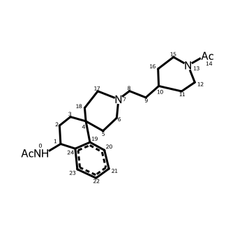 CC(=O)NC1CCC2(CCN(CCC3CCN(C(C)=O)CC3)CC2)c2ccccc21